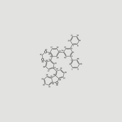 c1ccc(-c2cc(-c3ccccc3)cc(-c3ccc4c(c3)-c3cc(-c5cccc6oc7ccccc7c56)ccc3OCO4)c2)cc1